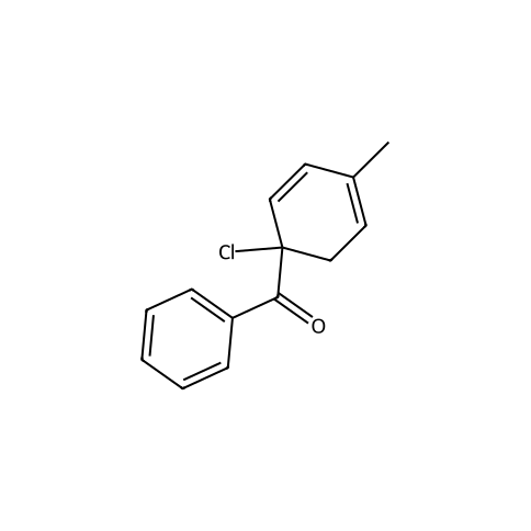 CC1=CCC(Cl)(C(=O)c2ccccc2)C=C1